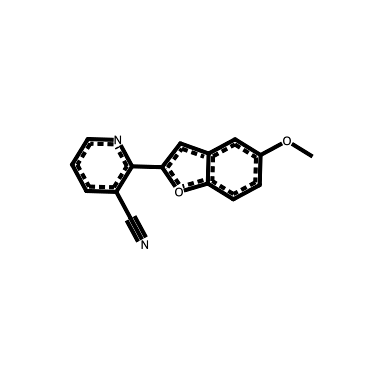 COc1ccc2oc(-c3ncccc3C#N)cc2c1